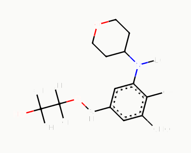 CCN(c1cc(BOC(C)(C)C(C)(C)O)cc(C=O)c1C)C1CCOCC1